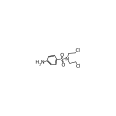 Nc1ccc(S(=O)(=O)N(CCCl)CCCl)cc1